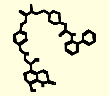 CN(CCN1CCC(OC(=O)Nc2ccccc2-c2ccccc2)CC1)C(=O)COc1ccc(CNC[C@@H](O)c2ccc(O)c3[nH]c(=O)ccc23)cc1